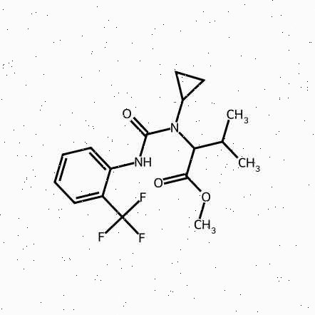 COC(=O)C(C(C)C)N(C(=O)Nc1ccccc1C(F)(F)F)C1CC1